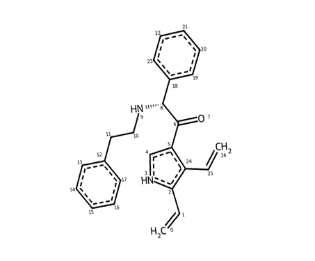 C=Cc1[nH]cc(C(=O)[C@H](NCCc2ccccc2)c2ccccc2)c1C=C